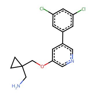 NCC1(COc2cncc(-c3cc(Cl)cc(Cl)c3)c2)CC1